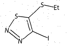 CCSc1snnc1I